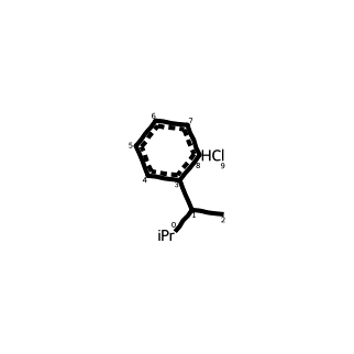 CC(C)C(C)c1ccccc1.Cl